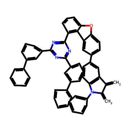 C=c1c(=C)n(-c2ccccc2)c2ccc(-c3ccc4oc5cccc(-c6nc(-c7cccc(-c8ccccc8)c7)nc(-c7cccc(-c8ccccc8)c7)n6)c5c4c3)cc12